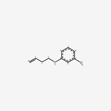 [CH]=CCCOc1cccc(Cl)c1